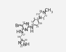 CN1CCN(c2ccc(Nc3ncc(Br)c(NCCc4c[nH]cn4)n3)cc2)CC1